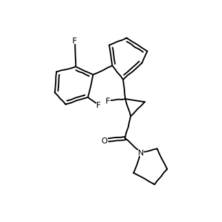 O=C(C1CC1(F)c1ccccc1-c1c(F)cccc1F)N1CCCC1